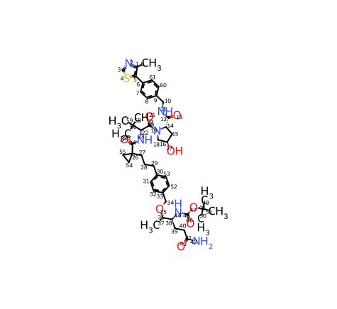 Cc1ncsc1-c1ccc(CNC(=O)[C@@H]2C[C@@H](O)CN2C(=O)[C@@H](NC(=O)C2(CCCc3ccc(CO[C@H](C)[C@H](CCC(N)=O)NC(=O)OC(C)(C)C)cc3)CC2)C(C)(C)C)cc1